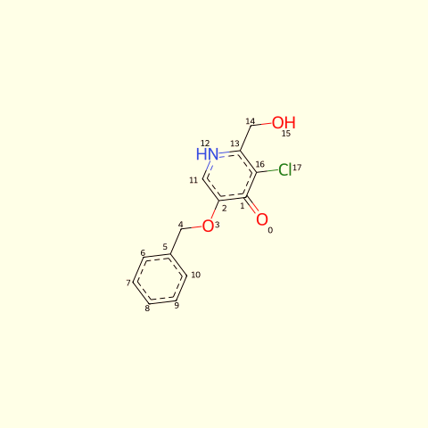 O=c1c(OCc2ccccc2)c[nH]c(CO)c1Cl